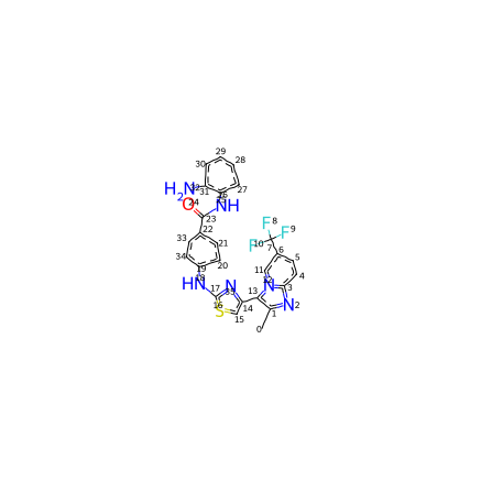 Cc1nc2ccc(C(F)(F)F)cn2c1-c1csc(Nc2ccc(C(=O)Nc3ccccc3N)cc2)n1